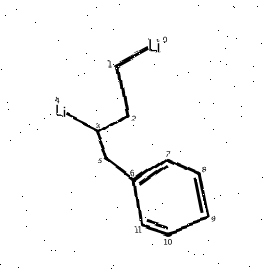 [Li][CH2]C[CH]([Li])Cc1ccccc1